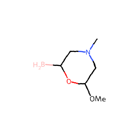 BC1CN(C)CC(OC)O1